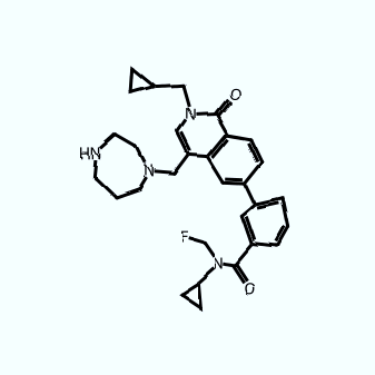 O=C(c1cccc(-c2ccc3c(=O)n(CC4CC4)cc(CN4CCCNCC4)c3c2)c1)N(CF)C1CC1